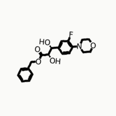 O=C(OCc1ccccc1)[C@H](O)[C@@H](O)c1ccc(N2CCOCC2)c(F)c1